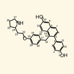 Oc1ccc(-c2ccc3cc(O)ccc3c2Cc2ccc(OCCC3CCCN3)cc2)cc1